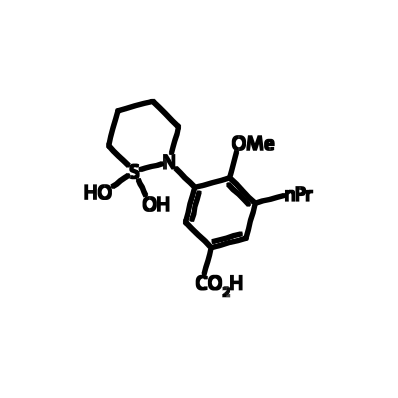 CCCc1cc(C(=O)O)cc(N2CCCCS2(O)O)c1OC